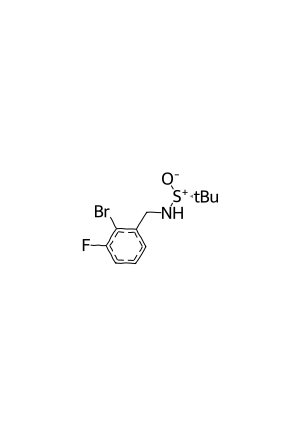 CC(C)(C)[S@@+]([O-])NCc1cccc(F)c1Br